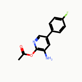 CC(=O)Oc1ncc(-c2ccc(F)cc2)cc1N